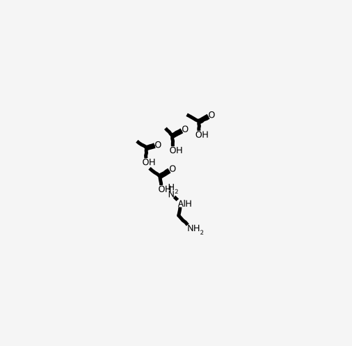 CC(=O)O.CC(=O)O.CC(=O)O.CC(=O)O.N[CH2][AlH][NH2]